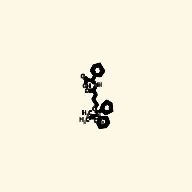 CC(C)(C)[Si](OCCCC(=O)NC(C(=O)O)c1ccccc1)(c1ccccc1)c1ccccc1